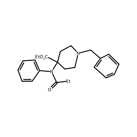 CCOC(=O)C1(N(C(=O)CC)c2ccccc2)CCN(Cc2ccccc2)CC1